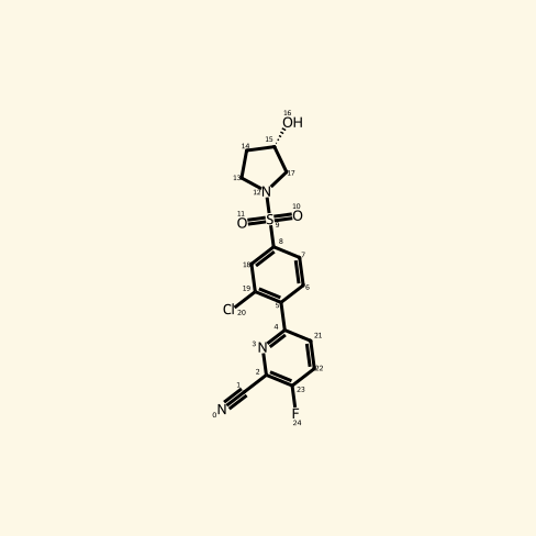 N#Cc1nc(-c2ccc(S(=O)(=O)N3CC[C@H](O)C3)cc2Cl)ccc1F